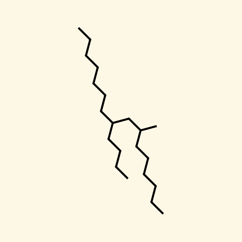 CCCCCCCC(CCCC)CC(C)CCCCCC